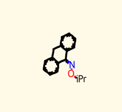 CC(C)ON=C1c2ccccc2Cc2ccccc21